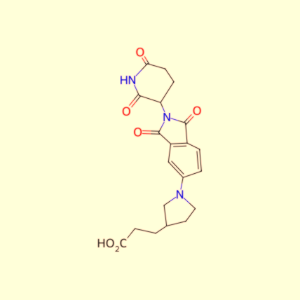 O=C(O)CCC1CCN(c2ccc3c(c2)C(=O)N(C2CCC(=O)NC2=O)C3=O)C1